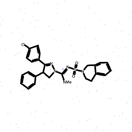 CN/C(=N\S(=O)(=O)N1CCc2ccccc2C1)N1CC(c2ccccc2)C(c2ccc(Cl)cc2)=N1